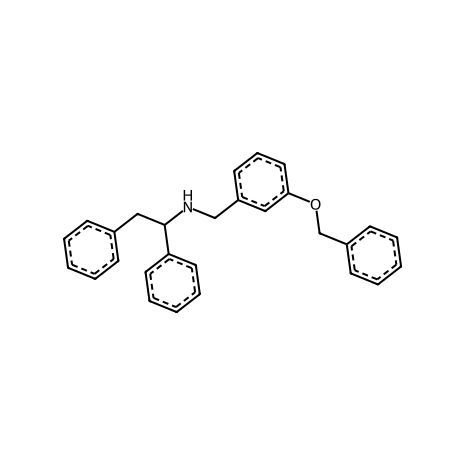 c1ccc(COc2cccc(CNC(Cc3ccccc3)c3ccccc3)c2)cc1